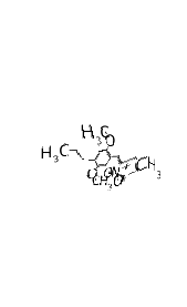 CCCc1cc(OC)c(C=C(CC)[N+](=O)[O-])cc1OC